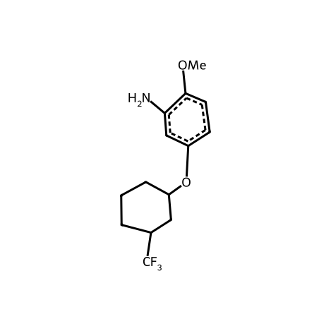 COc1ccc(OC2CCCC(C(F)(F)F)C2)cc1N